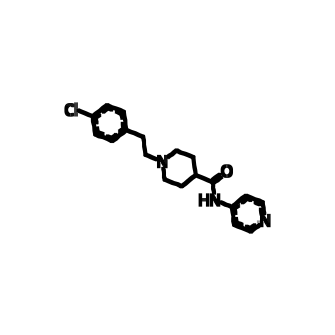 O=C(Nc1ccncc1)C1CCN(CCc2ccc(Cl)cc2)CC1